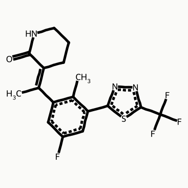 C/C(=C1/CCCNC1=O)c1cc(F)cc(-c2nnc(C(F)(F)F)s2)c1C